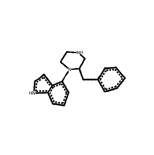 c1ccc(CC2CNCCN2c2cccc3[nH]ccc23)cc1